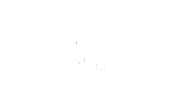 O=C(Nc1cccc2ncn(Cc3ccccc3C(F)(F)F)c(=O)c12)c1cc(Cl)c(O)c(Cl)c1